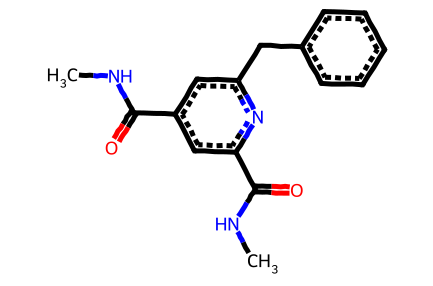 CNC(=O)c1cc(Cc2ccccc2)nc(C(=O)NC)c1